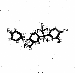 OC(c1ccc(F)c(F)c1)(c1ccc2c(cnn2-c2ccc(F)cc2)c1)C(F)(F)F